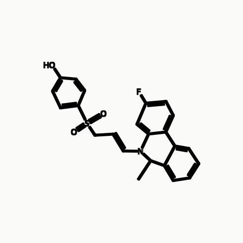 CC1c2ccccc2-c2ccc(F)cc2N1C=CCS(=O)(=O)c1ccc(O)cc1